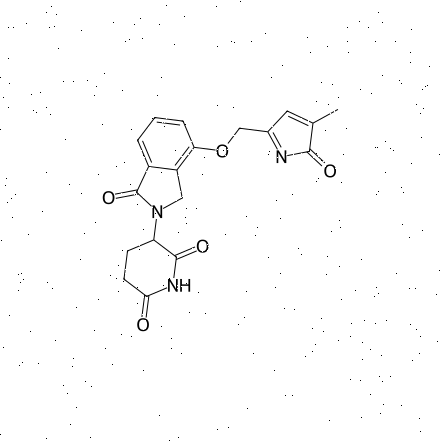 CC1=CC(COc2cccc3c2CN(C2CCC(=O)NC2=O)C3=O)=NC1=O